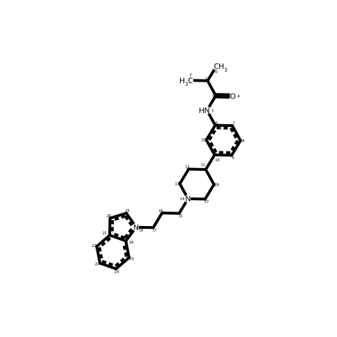 CC(C)C(=O)Nc1cccc(C2CCN(CCCn3ccc4ccccc43)CC2)c1